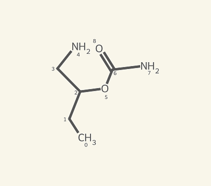 CCC(CN)OC(N)=O